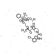 CC(NP(=O)(OCCON(C)C(=O)c1n[nH]c2c1CN(C(=O)c1cc3c(Cl)cccc3[nH]1)CC2)Oc1ccccc1)C(=O)O